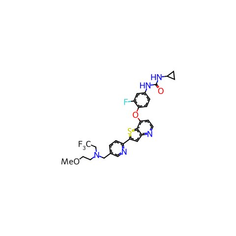 COCCN(Cc1ccc(-c2cc3nccc(Oc4ccc(NC(=O)NC5CC5)cc4F)c3s2)nc1)CC(F)(F)F